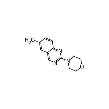 Cc1ccc2nc(N3CCOCC3)ncc2c1